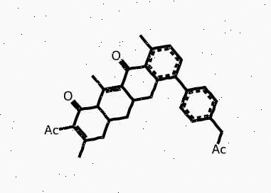 CC(=O)Cc1ccc(-c2ccc(C)c3c2CC2CC4CC(C)=C(C(C)=O)C(=O)C4C(C)=C2C3=O)cc1